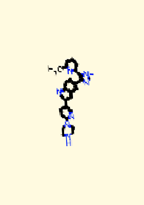 Cc1cccc(-c2[nH]cnc2-c2ccc3ncc(-c4ccc(N5CCNCC5)nc4)cc3c2)n1